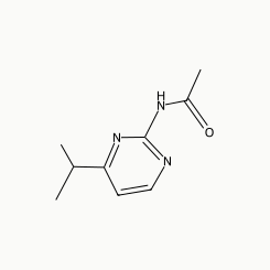 CC(=O)Nc1nccc(C(C)C)n1